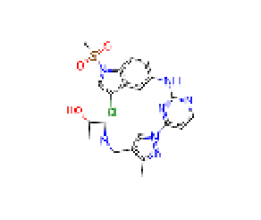 Cc1nn(-c2ccnc(Nc3ccc4c(c3)c(Cl)cn4S(C)(=O)=O)n2)cc1CN1CC(O)C1